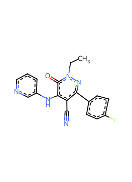 CCn1nc(-c2ccc(F)cc2)c(C#N)c(Nc2cccnc2)c1=O